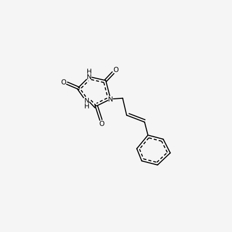 O=c1[nH]c(=O)n(CC=Cc2ccccc2)c(=O)[nH]1